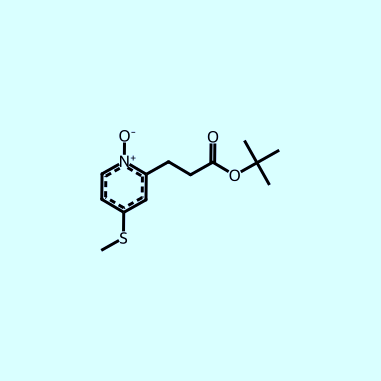 CSc1cc[n+]([O-])c(CCC(=O)OC(C)(C)C)c1